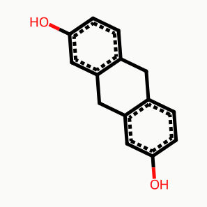 Oc1ccc2c(c1)Cc1cc(O)ccc1C2